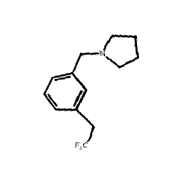 FC(F)(F)Cc1cccc(CN2CCCC2)c1